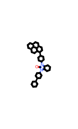 O=c1n(-c2ccc(-c3ccccc3)cc2)c2ccccc2n1-c1ccc(-c2ccc3ccc4cccc5ccc2c3c45)cc1